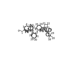 CCc1ccc2nc(-c3ccc(C4(NC(=O)OC(C)(C)C)CCC4)cc3)c(-c3ccccc3)n2n1